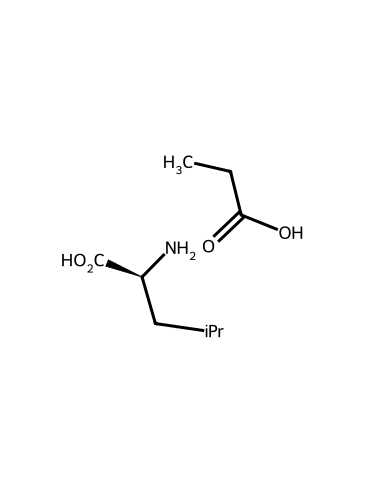 CC(C)C[C@H](N)C(=O)O.CCC(=O)O